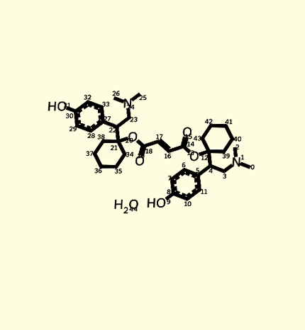 CN(C)CC(c1ccc(O)cc1)C1(OC(=O)/C=C/C(=O)OC2(C(CN(C)C)c3ccc(O)cc3)CCCCC2)CCCCC1.O